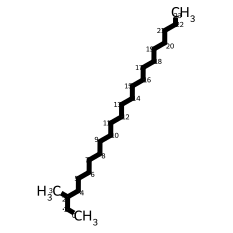 C[CH]C(C)CCCCCCCCCCCCCCCCCCCC